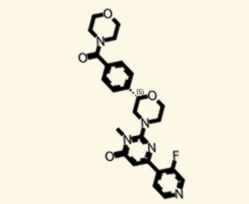 Cn1c(N2CCO[C@@H](c3ccc(C(=O)N4CCOCC4)cc3)C2)nc(-c2ccncc2F)cc1=O